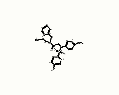 COc1ccc(N(CC(=O)N(CCO)Cc2ccccn2)S(=O)(=O)c2ccc(C(C)C)cn2)cn1